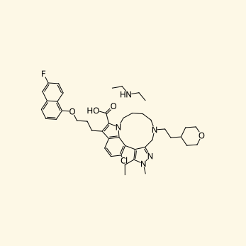 CCNCC.CCc1c2c(nn1C)CN(CCC1CCOCC1)CCCCn1c(C(=O)O)c(CCCOc3cccc4cc(F)ccc34)c3ccc(Cl)c-2c31